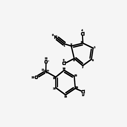 N#Cc1c(Cl)cccc1Cl.O=[N+]([O-])c1ccc(Cl)cc1